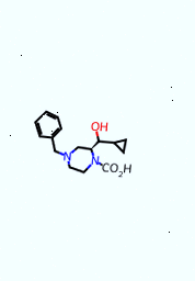 O=C(O)N1CCN(Cc2ccccc2)C[C@H]1C(O)C1CC1